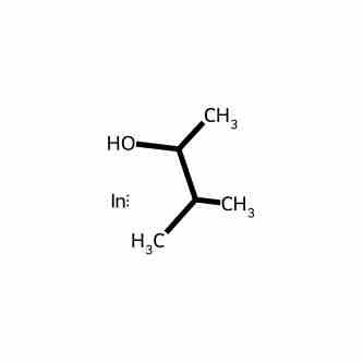 CC(C)C(C)O.[In]